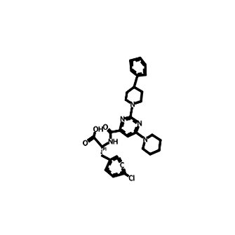 O=C(N[C@H](Cc1ccc(Cl)cc1)C(=O)O)c1cc(N2CCCCC2)nc(N2CCC(c3ccccc3)CC2)n1